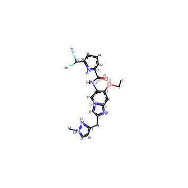 CCOc1cc2nc(Cc3ccn(C)n3)cn2cc1NC(=O)c1cccc(C(F)F)n1